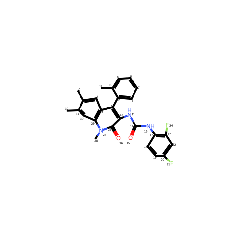 Cc1cc2c(-c3ccccc3C)c(NC(=O)Nc3ccc(F)cc3F)c(=O)n(C)c2cc1C